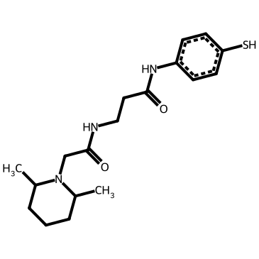 CC1CCCC(C)N1CC(=O)NCCC(=O)Nc1ccc(S)cc1